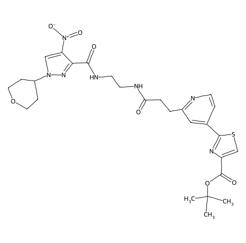 CC(C)(C)OC(=O)c1csc(-c2ccnc(CCC(=O)NCCNC(=O)c3nn(C4CCOCC4)cc3[N+](=O)[O-])c2)n1